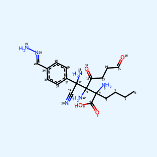 CCCCC(N)(C(=O)O)C(N)(C(=O)CCC=O)C(N)(C#N)c1ccc(C=NN)cc1